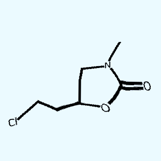 CN1CC(CCCl)OC1=O